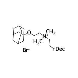 CCCCCCCCCCCC[N+](C)(C)CCOC12CC3CC(CC(C3)C1)C2.[Br-]